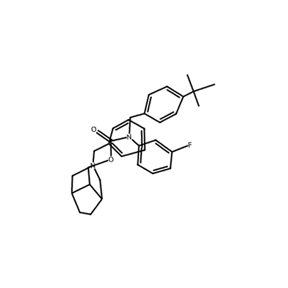 CC(C)(C)c1ccc(CN(C(=O)OCC2C3CCC2CN(Cc2ccccc2)C3)c2cccc(F)c2)cc1